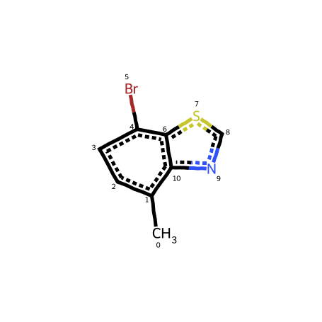 Cc1ccc(Br)c2scnc12